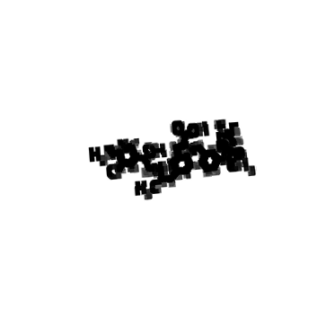 CC(Cc1ccc2c(c1)cc(C(=O)O)n2Cc1cccc(N(C)S(=O)(=O)CC(F)(F)F)c1)NCC(O)c1cnc(N)c(Cl)c1